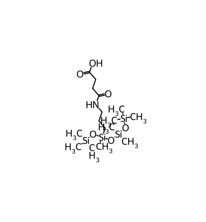 C[Si](C)(C)O[Si](C)(C)O[Si](C)(CCCNC(=O)CCC(=O)O)O[Si](C)(C)C